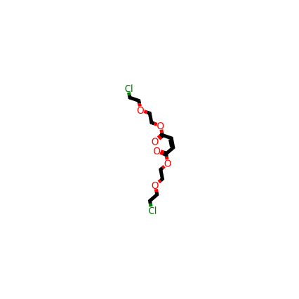 O=C(/C=C\C(=O)OCCOCCCl)OCCOCCCl